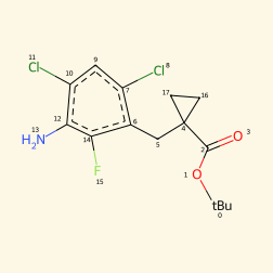 CC(C)(C)OC(=O)C1(Cc2c(Cl)cc(Cl)c(N)c2F)CC1